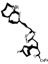 O=C(O)CC(Cc1nnc(CCCc2ccc3c(n2)NCCC3)s1)c1ccc(F)cc1